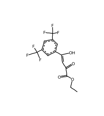 CCOC(=O)C(=O)/C=C(\O)c1cc(C(F)(F)F)cc(C(F)(F)F)c1